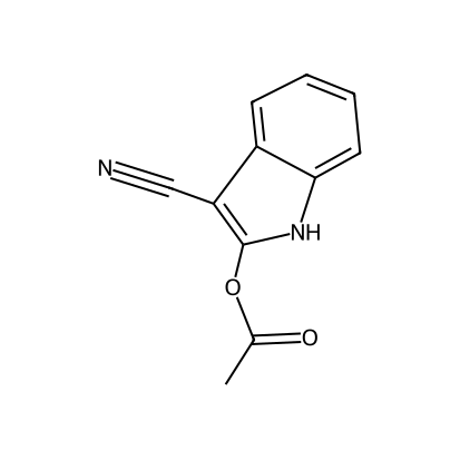 CC(=O)Oc1[nH]c2ccccc2c1C#N